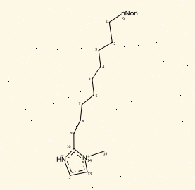 CCCCCCCCCCCCCCCCCCc1[nH]cc[n+]1C